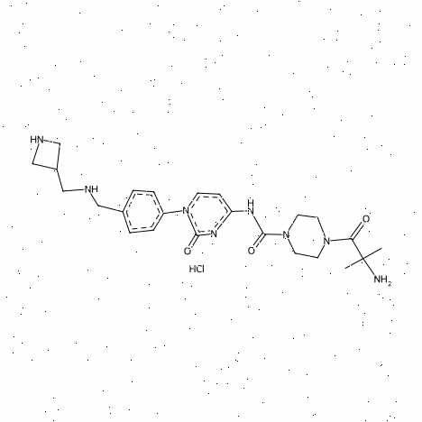 CC(C)(N)C(=O)N1CCN(C(=O)Nc2ccn(-c3ccc(CNCC4CNC4)cc3)c(=O)n2)CC1.Cl